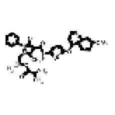 COc1ccc2c(Oc3ccc(NC(=O)c4c(C)n(C[C@@H](C)OC(=O)C(C)N)n(-c5ccccc5)c4=O)nc3)ccnc2c1